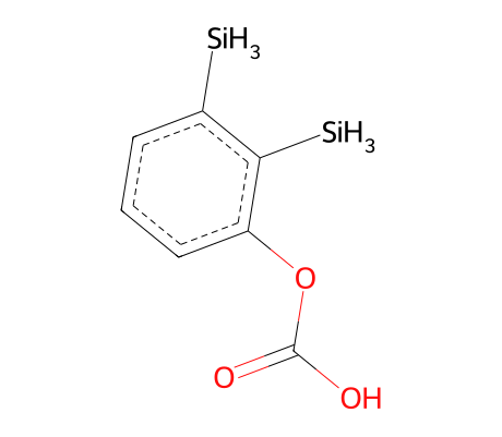 O=C(O)Oc1cccc([SiH3])c1[SiH3]